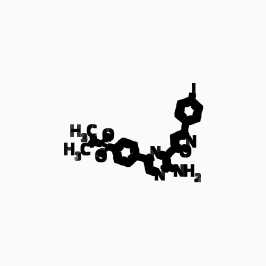 CC(C)S(=O)(=O)c1ccc(-c2cnc(N)c(-c3cc(-c4ccc(I)cc4)no3)n2)cc1